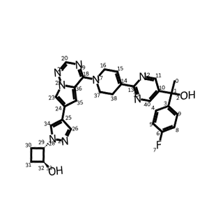 CC(O)(c1ccc(F)cc1)c1cnc(C2=CCN(c3ncnn4cc(-c5cnn([C@H]6CC[C@@H]6O)c5)cc34)CC2)nc1